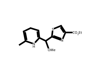 CCOC(=O)c1csc(C(OC)C2=CCC=C(C)N2)n1